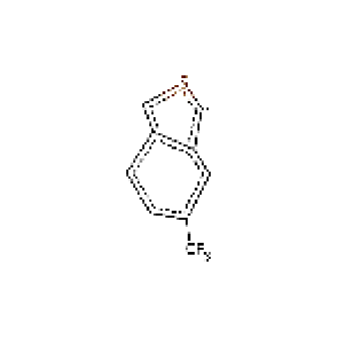 FC(F)(F)c1ccc2cs[c]c2c1